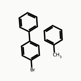 Brc1ccc(-c2ccccc2)cc1.Cc1ccccc1